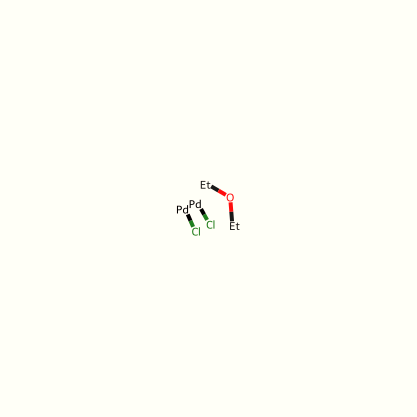 CCOCC.[Cl][Pd].[Cl][Pd]